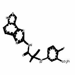 CCOC(=O)c1cc(NC(C)(C)C(=O)Nc2nc3ccc4[nH]ncc4c3s2)ccc1F